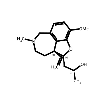 C=C[C@@]12CCN(C)Cc3ccc(OC)c(c31)O[C@H]2C[C@H](C)O